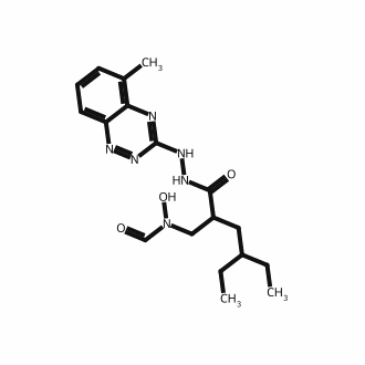 CCC(CC)CC(CN(O)C=O)C(=O)NNc1nnc2cccc(C)c2n1